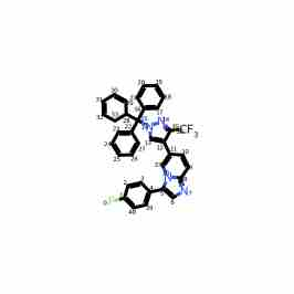 Fc1ccc(-c2cnc3ccc(-c4cn(C(c5ccccc5)(c5ccccc5)C5C=CC=CC5)nc4C(F)(F)F)cn23)cc1